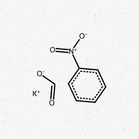 O=C[O-].O=[N+]([O-])c1ccccc1.[K+]